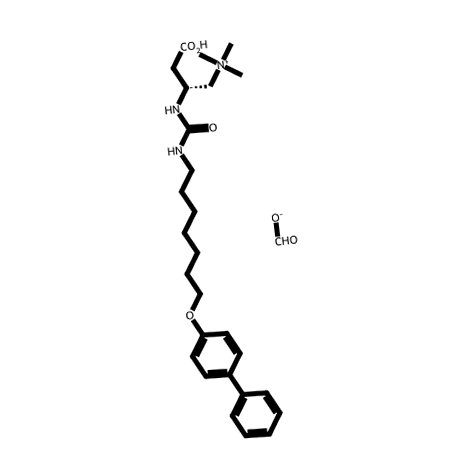 C[N+](C)(C)C[C@@H](CC(=O)O)NC(=O)NCCCCCCCOc1ccc(-c2ccccc2)cc1.O=C[O-]